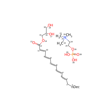 CCCCCCCCCCCC=CC=CC=CC=CC=CC(=O)OCC(O)CO.C[N+](C)(C)CCOP(=O)(O)O